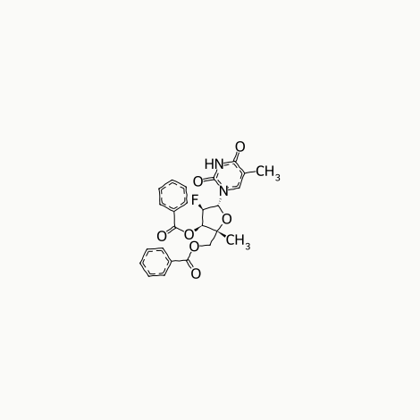 Cc1cn([C@@H]2O[C@](C)(COC(=O)c3ccccc3)[C@@H](OC(=O)c3ccccc3)[C@H]2F)c(=O)[nH]c1=O